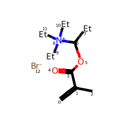 C=C(C)C(=O)OC(CC)[N+](CC)(CC)CC.[Br-]